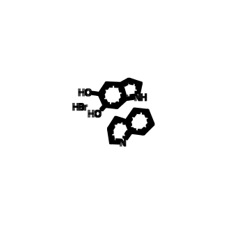 Br.Oc1cc2cc[nH]c2cc1O.c1ccc2ncccc2c1